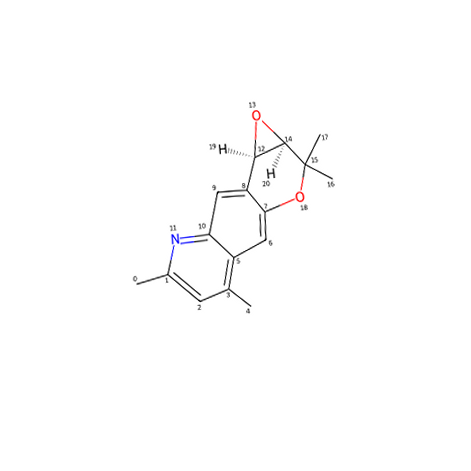 Cc1cc(C)c2cc3c(cc2n1)[C@H]1O[C@H]1C(C)(C)O3